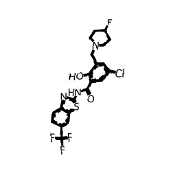 O=C(Nc1nc2ccc(C(F)(F)F)cc2s1)c1cc(Cl)cc(CN2CCC(F)CC2)c1O